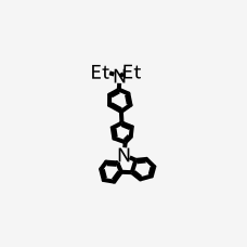 CCN(CC)c1ccc(-c2ccc(-n3c4ccccc4c4ccccc43)cc2)cc1